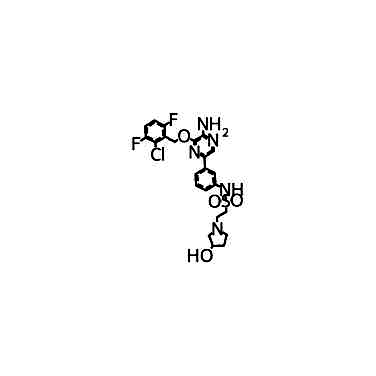 Nc1ncc(-c2cccc(NS(=O)(=O)CCN3CC[C@@H](O)C3)c2)nc1OCc1c(F)ccc(F)c1Cl